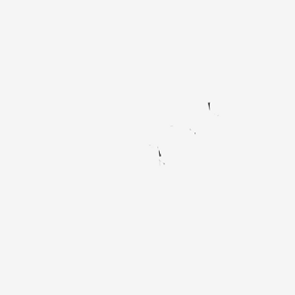 Cl.N[C@@H](Cc1ccccc1)C(=O)N1CCC[C@@H]1P(=O)(O)O